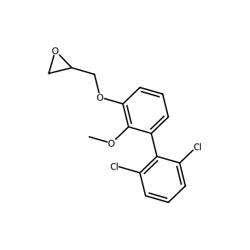 COc1c(OCC2CO2)cccc1-c1c(Cl)cccc1Cl